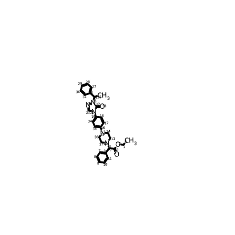 CCOC(=O)[C@@H](c1ccccc1)N1CCN(c2ccc(-n3cnn(C(C)c4ccccc4)c3=O)cc2)CC1